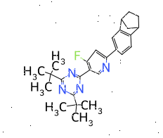 CC(C)(C)c1nc(-c2cnc(-c3ccc4c(c3)C3CCC4C3)cc2F)nc(C(C)(C)C)n1